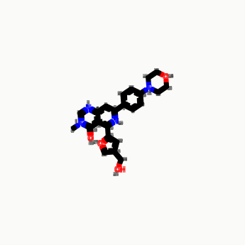 Cn1cnc2cc(-c3ccc(N4CCOCC4)cc3)nc(-c3cc(CO)co3)c2c1=O